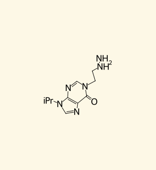 CC(C)n1cnc2c(=O)n(CCNN)cnc21